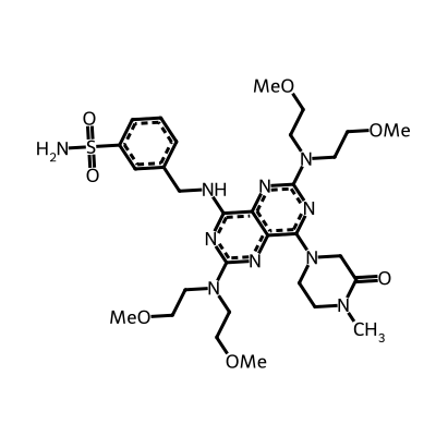 COCCN(CCOC)c1nc(N2CCN(C)C(=O)C2)c2nc(N(CCOC)CCOC)nc(NCc3cccc(S(N)(=O)=O)c3)c2n1